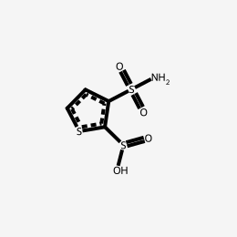 NS(=O)(=O)c1ccsc1S(=O)O